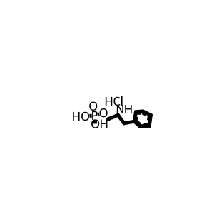 Cl.N[C@@H](COP(=O)(O)O)Cc1ccccc1